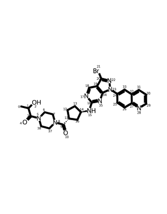 CC(O)C(=O)N1CCN(C(=O)[C@@H]2CC[C@@H](Nc3ncc4c(Br)nn(-c5ccc6ncccc6c5)c4n3)C2)CC1